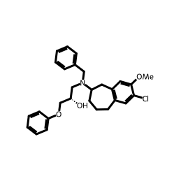 COc1cc2c(cc1Cl)CCCC(N(Cc1ccccc1)C[C@H](O)COc1ccccc1)C2